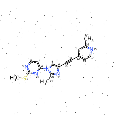 CSc1nccc(-n2cc(C#Cc3ccnc(C)c3)nc2C)n1